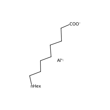 CCCCCCCCCCCCCC(=O)[O-].[Al+]